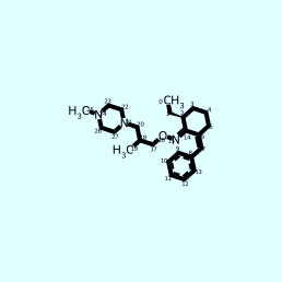 CC[C@H]1CCCC(=Cc2ccccc2)C1=NOCC(C)CN1CCN(C)CC1